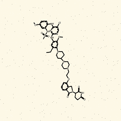 CCc1cc(Nc2ncc(Cl)c(Nc3ccc(OC)cc3NS(C)(=O)=O)n2)c(OC)cc1N1CCC(N2CCN(CCOc3cccc4c3CN(C3CCC(=O)NC3=O)C4=O)CC2)CC1